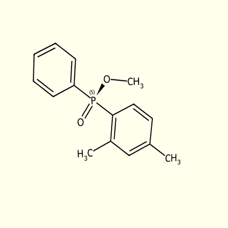 CO[P@@](=O)(c1ccccc1)c1ccc(C)cc1C